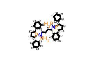 PN(CCCCN(P)P1[C@H](c2ccccc2)CC[C@H]1c1ccccc1)P1[C@H](c2ccccc2)CC[C@H]1c1ccccc1